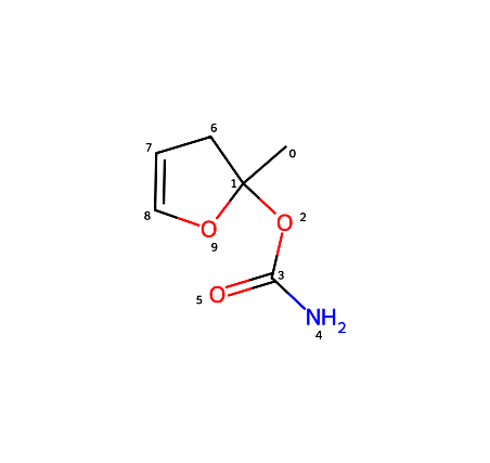 CC1(OC(N)=O)CC=CO1